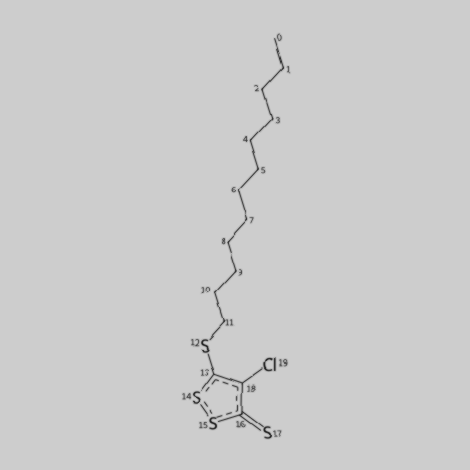 CCCCCCCCCCCCSc1ssc(=S)c1Cl